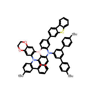 Cc1cc2c3c(c1)N(c1ccc(C(C)(C)C)cc1-c1ccccc1)c1cc4c(cc1B3c1ccc(-c3ccc5c(c3)sc3ccccc35)cc1N2c1cc(-c2ccc(C(C)(C)C)cc2)cc(-c2ccc(C(C)(C)C)cc2)c1)OCCO4